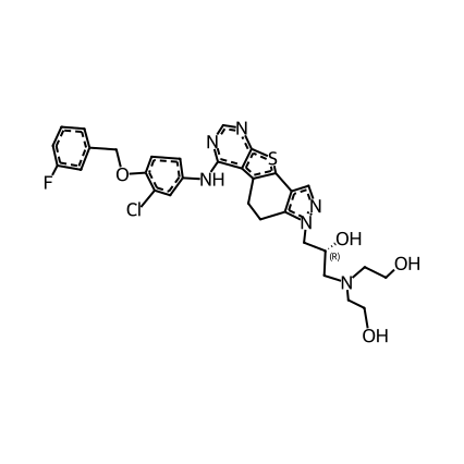 OCCN(CCO)C[C@@H](O)Cn1ncc2c1CCc1c-2sc2ncnc(Nc3ccc(OCc4cccc(F)c4)c(Cl)c3)c12